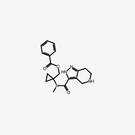 CN(C(=O)c1[nH]nc2c1CNCC2)C1(COC(=O)c2ccccc2)CC1